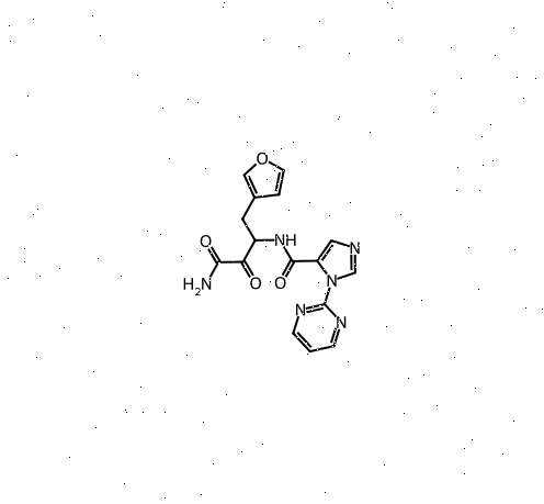 NC(=O)C(=O)C(Cc1ccoc1)NC(=O)c1cncn1-c1ncccn1